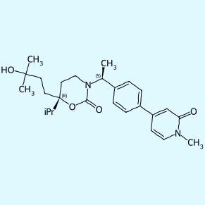 CC(C)[C@@]1(CCC(C)(C)O)CCN([C@@H](C)c2ccc(-c3ccn(C)c(=O)c3)cc2)C(=O)O1